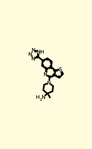 CC1(N)CCN(c2nc3cc(-c4nnn[nH]4)ccc3c3sccc23)CC1